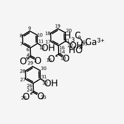 CCO.O=C([O-])c1ccccc1O.O=C([O-])c1ccccc1O.O=C([O-])c1ccccc1O.[Ga+3]